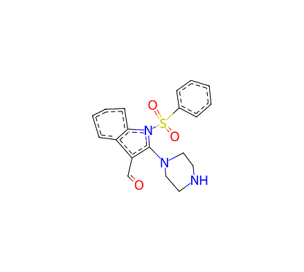 O=Cc1c(N2CCNCC2)n(S(=O)(=O)c2ccccc2)c2ccccc12